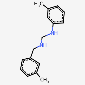 Cc1cccc(CNCNc2cccc(C)c2)c1